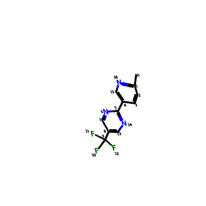 Cc1ccc(-c2ncc(C(F)(F)F)cn2)cn1